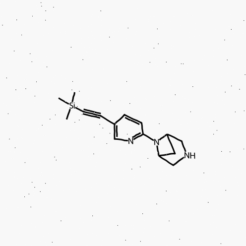 C[Si](C)(C)C#Cc1ccc(N2C3CNCC2C3)nc1